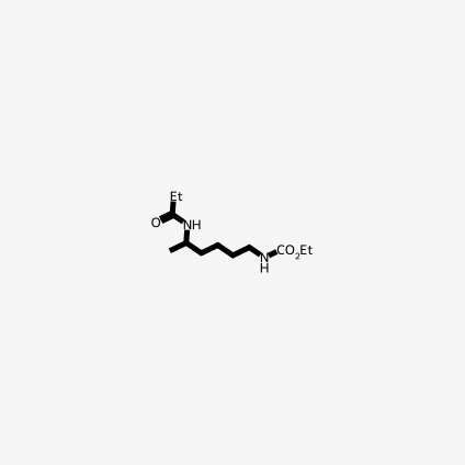 CCOC(=O)NCCCCC(C)NC(=O)CC